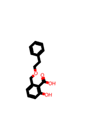 O=C(O)c1c(O)cccc1COCCc1ccccc1